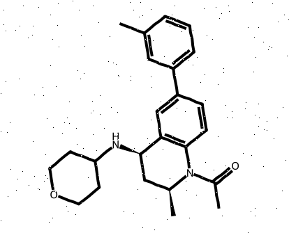 CC(=O)N1c2ccc(-c3cccc(C)c3)cc2[C@H](NC2CCOCC2)C[C@@H]1C